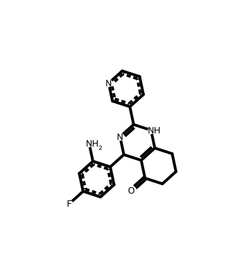 Nc1cc(F)ccc1C1N=C(c2cccnc2)NC2=C1C(=O)CCC2